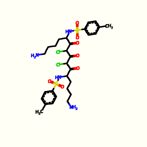 Cc1ccc(S(=O)(=O)NC(CCCCN)C(=O)C(Cl)C(=O)C(Cl)C(=O)C(CCCCN)NS(=O)(=O)c2ccc(C)cc2)cc1